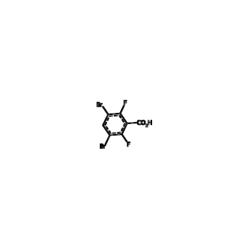 O=C(O)c1c(F)c(Br)cc(Br)c1F